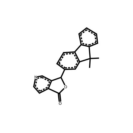 CC1(C)c2ccccc2-c2ccc(C3OC(=O)c4ccncc43)cc21